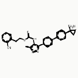 CCOC(=O)C1(c2ccc(-c3ccc(-c4onc(C)c4NC(=O)OCCc4ccccc4C#N)cc3)cc2)CC1